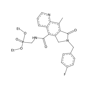 CCOP(=O)(CNC(=O)c1c2c(c(C)c3ncccc13)C(=O)N(Cc1ccc(F)cc1)C2)OCC